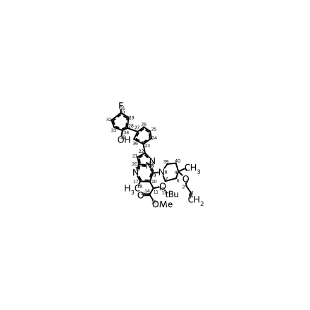 C=CCOC1(C)CCN(c2c(C(OC(C)(C)C)C(=O)OC)c(C)nc3cc(-c4cccc(-c5cc(F)ccc5O)c4)nn23)CC1